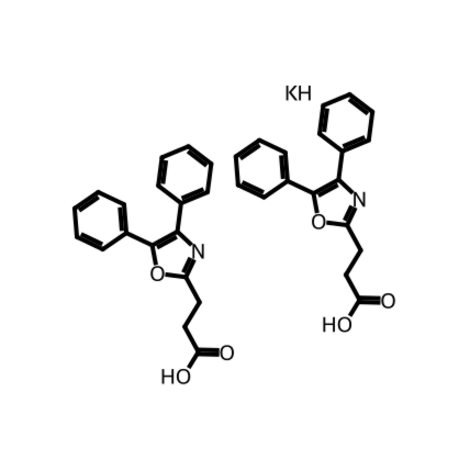 O=C(O)CCc1nc(-c2ccccc2)c(-c2ccccc2)o1.O=C(O)CCc1nc(-c2ccccc2)c(-c2ccccc2)o1.[KH]